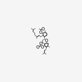 CC(=O)Oc1c(C)ccc([C@@H]2CC(=O)c3c(cc(C)c(CC=C(C)C)c3OC(C)=O)O2)c1C/C=C(\C)CCC=C(C)C